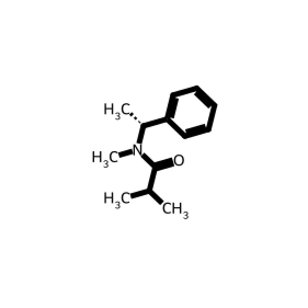 CC(C)C(=O)N(C)[C@H](C)c1ccccc1